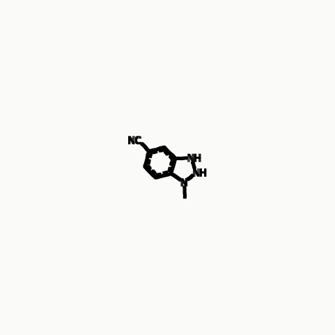 CN1NNc2cc(C#N)ccc21